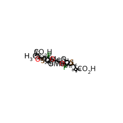 COc1cc2sc(CC3CCC3C(=O)O)cc2c(F)c1OCCCCOc1c(OC)cc2sc(C(=O)CC(C)C(=O)O)cc2c1F